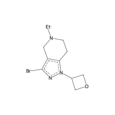 [CH2][CH]N1CCc2c(c(Br)nn2C2COC2)C1